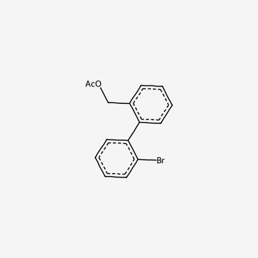 CC(=O)OCc1ccccc1-c1ccccc1Br